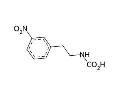 O=C(O)NCCc1cccc([N+](=O)[O-])c1